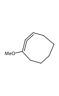 COC1=C=CCCCCC1